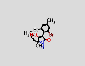 C=C=CC1(C)NC(=O)C(c2c(Br)cc(C)cc2CC)=C1O